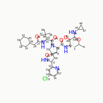 CCC[C@H](NC(=O)[C@@H]1C[C@]2(CC(c3cc(Cl)ccn3)NO2)CN1C(=O)[C@@H](NC(=O)CC1CCCCC1)C(C)(C)C)C(=O)C(=O)NC1CC1